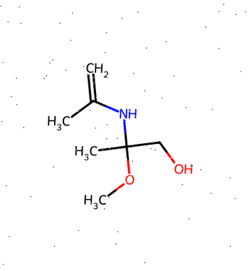 C=C(C)NC(C)(CO)OC